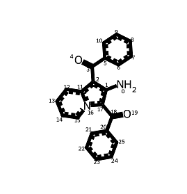 Nc1c(C(=O)c2ccccc2)c2ccccn2c1C(=O)c1ccccc1